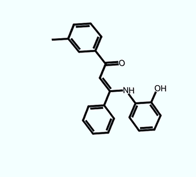 Cc1cccc(C(=O)/C=C(\Nc2ccccc2O)c2ccccc2)c1